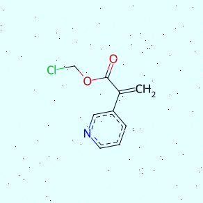 C=C(C(=O)OCCl)c1cccnc1